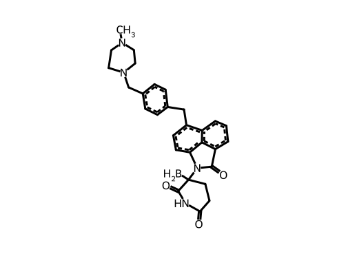 BC1(N2C(=O)c3cccc4c(Cc5ccc(CN6CCN(C)CC6)cc5)ccc2c34)CCC(=O)NC1=O